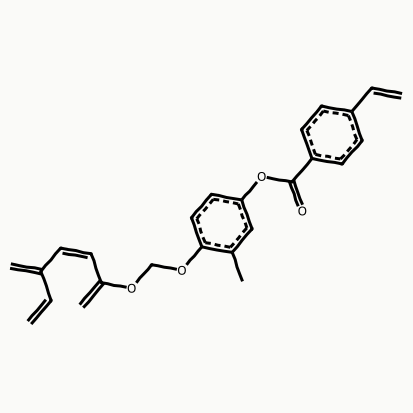 C=CC(=C)/C=C\C(=C)OCOc1ccc(OC(=O)c2ccc(C=C)cc2)cc1C